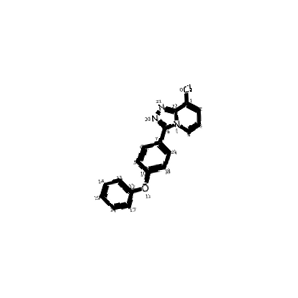 Clc1cccn2c(-c3ccc(Oc4ccccc4)cc3)nnc12